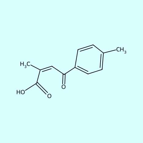 CC(=CC(=O)c1ccc(C)cc1)C(=O)O